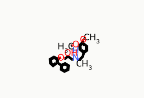 COc1ccc(CC(C)NCC(O)COc2ccccc2-c2ccccc2)cc1OC